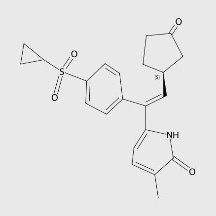 Cc1ccc(C(=C[C@H]2CCC(=O)C2)c2ccc(S(=O)(=O)C3CC3)cc2)[nH]c1=O